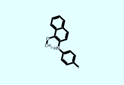 COc1c(Nc2ccc(I)cc2)ccc2ccccc12